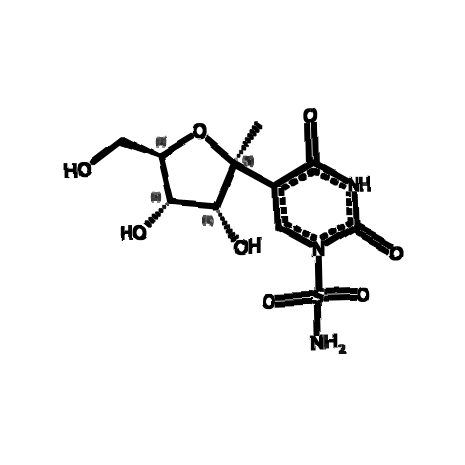 C[C@@]1(c2cn(S(N)(=O)=O)c(=O)[nH]c2=O)O[C@H](CO)[C@@H](O)[C@H]1O